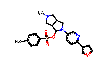 Cc1ccc(S(=O)(=O)OC2C3CN(C)CC3CN2c2ccc(-c3ccoc3)nc2)cc1